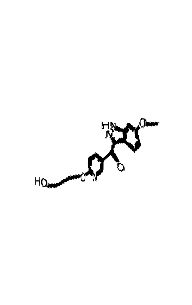 COc1ccc2c(C(=O)c3ccc(OCCO)nc3)n[nH]c2c1